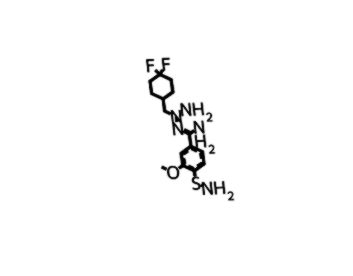 COc1cc(/C(N)=N/N(N)CC2CCC(F)(F)CC2)ccc1SN